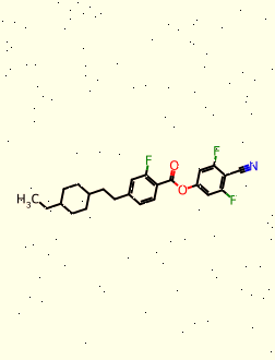 CCC1CCC(CCc2ccc(C(=O)Oc3cc(F)c(C#N)c(F)c3)c(F)c2)CC1